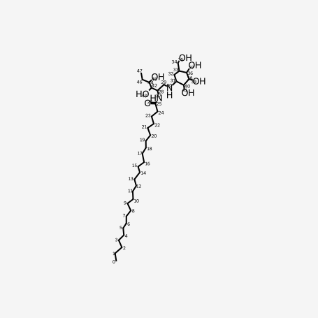 CCCCCCCCCCCCCCCCCCCCCCCCCC(=O)NC(CNC1CC(CO)C(O)C(O)C1O)C(O)C(O)CC